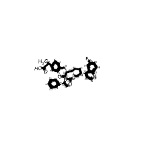 CC(C(=O)O)c1ccc(C[C@@H](C(=O)N2C(=O)OC[C@H]2c2ccccc2)[C@H]2CC[C@@H](c3ccnc4ccc(F)cc43)CC2)cc1